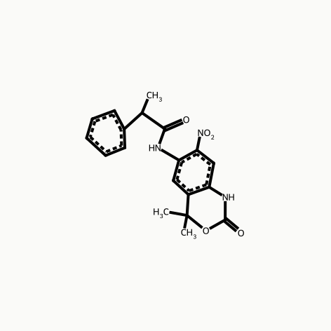 CC(C(=O)Nc1cc2c(cc1[N+](=O)[O-])NC(=O)OC2(C)C)c1ccccc1